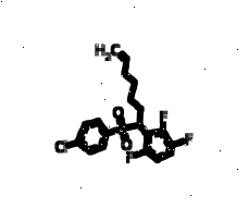 C=CCCCCC(c1c(F)ccc(F)c1F)S(=O)(=O)c1ccc(Cl)cc1